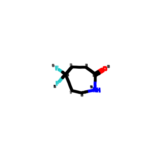 O=C1CCC(F)(F)CCN1